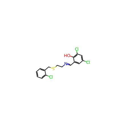 Oc1c(Cl)cc(Cl)cc1/C=N/CCSCc1ccccc1Cl